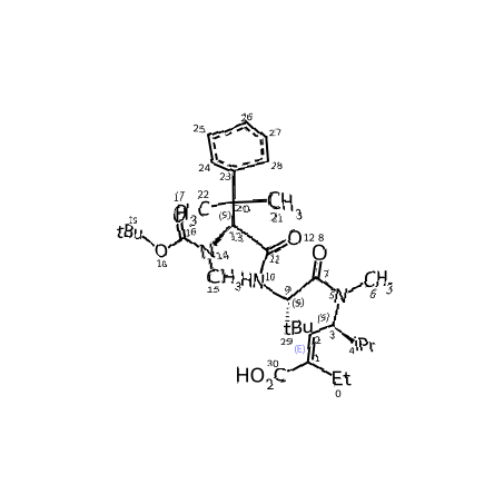 CC/C(=C\[C@H](C(C)C)N(C)C(=O)[C@@H](NC(=O)[C@@H](N(C)C(=O)OC(C)(C)C)C(C)(C)c1ccccc1)C(C)(C)C)C(=O)O